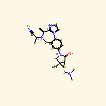 C=C1c2nccn2-c2ccc(N3C[C@@H]4C(C3=O)[C@@H]4CN(C)C)cc2CN1C(C)C#N